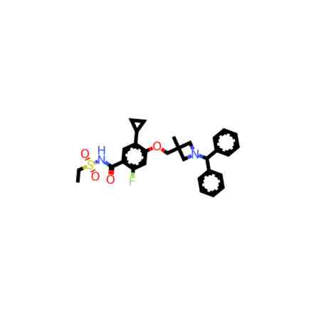 CCS(=O)(=O)NC(=O)c1cc(C2CC2)c(OCC2(C)CN(C(c3ccccc3)c3ccccc3)C2)cc1F